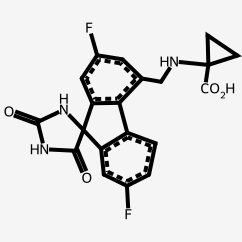 O=C1NC(=O)C2(N1)c1cc(F)ccc1-c1c(CNC3(C(=O)O)CC3)cc(F)cc12